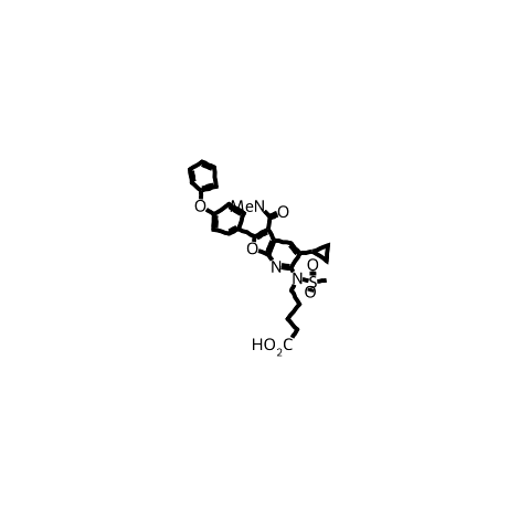 CNC(=O)c1c(-c2ccc(Oc3ccccc3)cc2)oc2nc(N(CCCCC(=O)O)S(C)(=O)=O)c(C3CC3)cc12